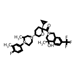 Cc1cc(N2CCN([C@@H]3CC[C@@](C(=O)N4Cc5cc(C(F)(F)F)ccc5[C@](C)(O)C4)(C4CC4)OC3)CC2C)ccc1F